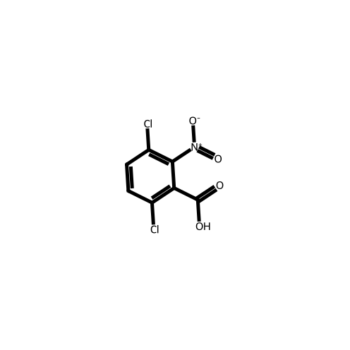 O=C(O)c1c(Cl)ccc(Cl)c1[N+](=O)[O-]